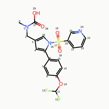 CN(Cc1cc(-c2ccc(OC(F)F)cc2)n(S(=O)(=O)c2cccnc2)c1)C(=O)O